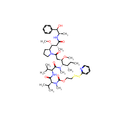 CC[C@H](C)[C@@H]([C@@H](CC(=O)N1CCC[C@H]1[C@H](OC)[C@@H](C)C(=O)N[C@H](C)C(O)c1ccccc1)OC)N(C)C(=O)[C@@H](NC(=O)[C@H](C(C)C)N(C)C(=O)OCCSSc1ccccn1)C(C)C